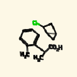 Cc1ccccc1C(C)C(=O)O.ClC1CC2CC12